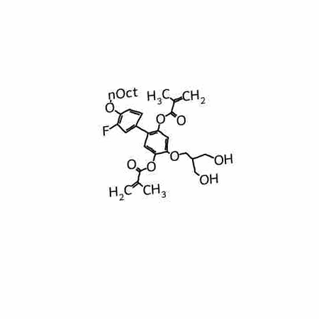 C=C(C)C(=O)Oc1cc(-c2ccc(OCCCCCCCC)c(F)c2)c(OC(=O)C(=C)C)cc1OCC(CO)CO